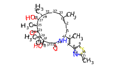 C/C1=C/C[C@@H](/C(C)=C/c2csc(C)n2)NC(=O)CC(O)C(C)(C)C(=O)C(C)[C@@H](O)C(C)CCC1